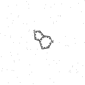 [c]1cc2cscc2cn1